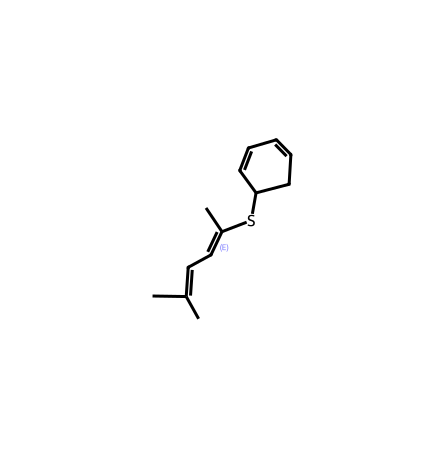 CC(C)=C/C=C(\C)SC1C=CC=CC1